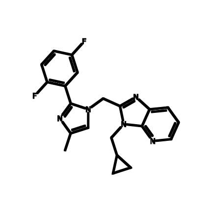 Cc1cn(Cc2nc3cccnc3n2CC2CC2)c(-c2cc(F)ccc2F)n1